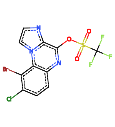 O=S(=O)(Oc1nc2ccc(Cl)c(Br)c2n2ccnc12)C(F)(F)F